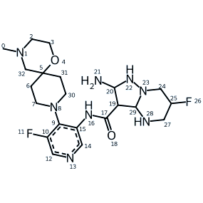 CN1CCOC2(CCN(c3c(F)cncc3NC(=O)C3C(N)NN4CC(F)CNC34)CC2)C1